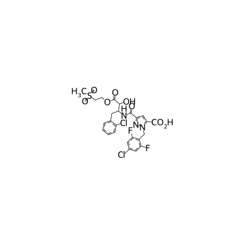 CS(=O)(=O)CCOC(=O)C(O)C(Cc1ccccc1Cl)NC(=O)c1cc(C(=O)O)n(Cc2c(F)cc(Cl)cc2F)n1